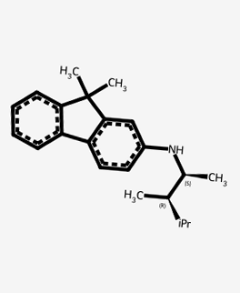 CC(C)[C@@H](C)[C@H](C)Nc1ccc2c(c1)C(C)(C)c1ccccc1-2